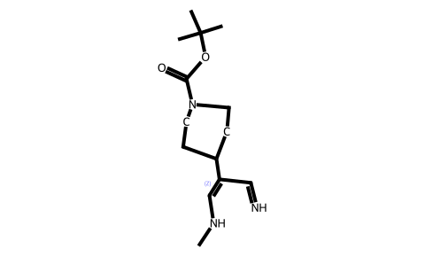 CN/C=C(\C=N)C1CCN(C(=O)OC(C)(C)C)CC1